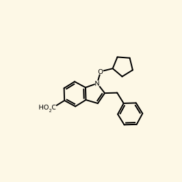 O=C(O)c1ccc2c(c1)cc(Cc1ccccc1)n2OC1CCCC1